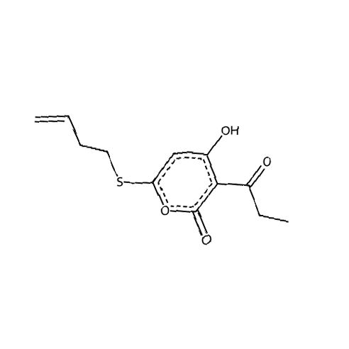 C=CCCSc1cc(O)c(C(=O)CC)c(=O)o1